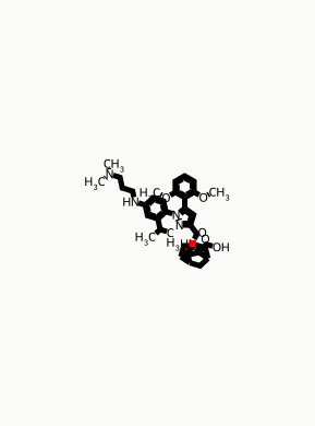 COc1cccc(OC)c1-c1cc(C(=O)NC2(C(=O)O)C3CC4CC(C3)C2C4)nn1-c1ccc(NCCCN(C)C)cc1C(C)C